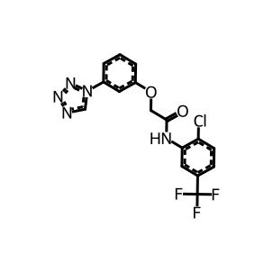 O=C(COc1cccc(-n2cnnn2)c1)Nc1cc(C(F)(F)F)ccc1Cl